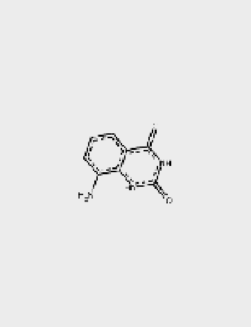 Nc1cccc2c(=O)[nH]c(=O)[nH]c12